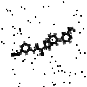 COc1cccc(CNC(=O)c2cn3cc(-c4ccnc(N)n4)ccc3n2)c1